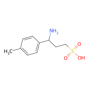 Cc1ccc(C(N)CCS(=O)(=O)O)cc1